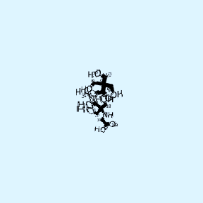 CN.O=C(O)C(CO)(CO)CO.O=C(O)CNC(CO)(CO)CO